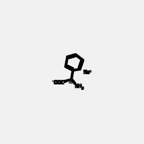 N[C@@H](C(=O)[O-])c1ccccc1.[Na+]